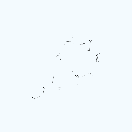 COc1ccc(OC(=O)C2CCCCC2)cc1[C@@H]1O[C@H](C(O)C(C)=O)[C@](O)(C(C)=O)[C@@](O)(C(C)=O)[C@]1(O)C(C)=O